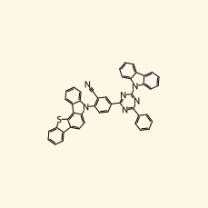 N#Cc1cc(-c2nc(-c3ccccc3)nc(-n3c4ccccc4c4ccccc43)n2)ccc1-n1c2ccccc2c2c3sc4ccccc4c3ccc21